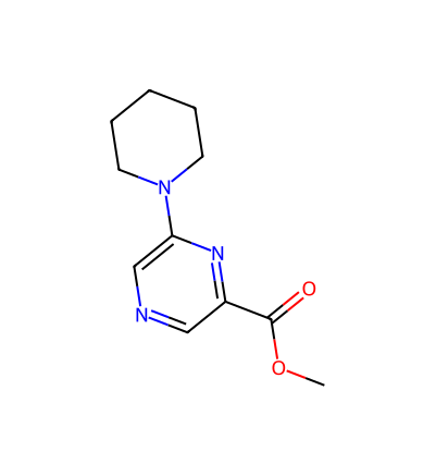 COC(=O)c1cncc(N2CCCCC2)n1